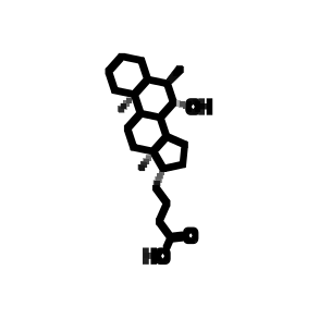 C[C@@H]1C2CCCC[C@]2(C)C2CC[C@@]3(C)C(CC[C@@H]3CCCC(=O)O)C2[C@H]1O